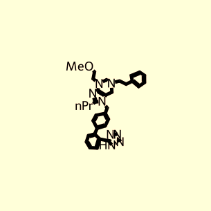 CCCc1nc2c(n1Cc1ccc(-c3ccccc3-c3nnn[nH]3)cc1)CN(CCc1ccccc1)CN2CCOC